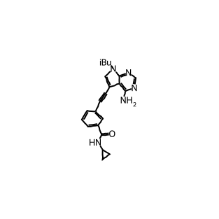 CCC(C)n1cc(C#Cc2cccc(C(=O)NC3CC3)c2)c2c(N)ncnc21